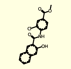 COC(=O)c1ccc(NC(=O)c2cc3ccccc3cc2O)c(Cl)c1